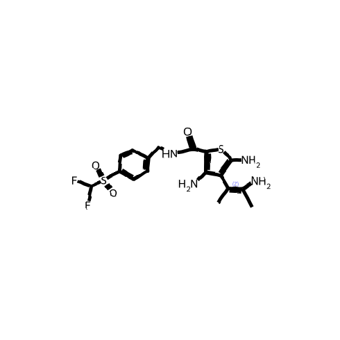 C/C(N)=C(\C)c1c(N)sc(C(=O)NCc2ccc(S(=O)(=O)C(F)F)cc2)c1N